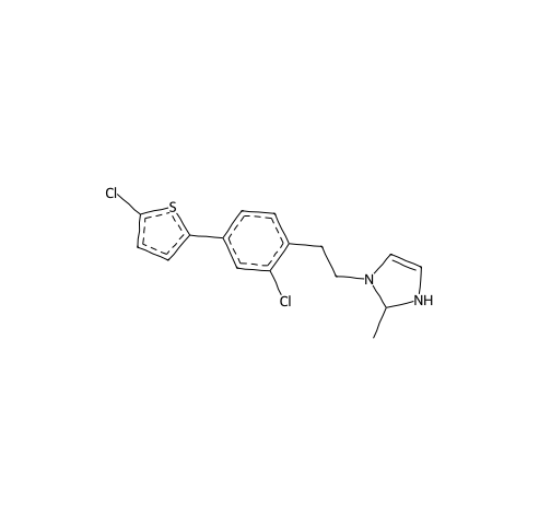 CC1NC=CN1CCc1ccc(-c2ccc(Cl)s2)cc1Cl